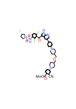 COC(=O)c1ccc(N2CCC(COCC3CCN(c4ccc(-c5cnc6[nH]cc(C(=O)c7c(F)ccc(NS(=O)(=O)N8CC[C@@H](F)C8)c7F)c6c5)cc4)CC3)CC2)cc1C#N